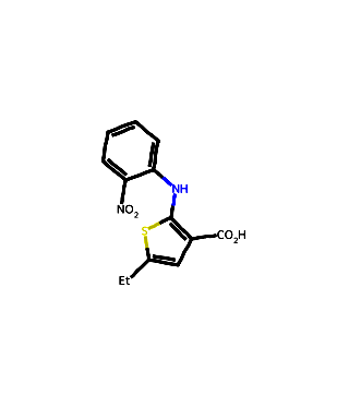 CCc1cc(C(=O)O)c(Nc2ccccc2[N+](=O)[O-])s1